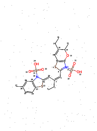 CCC(=Cc1sc2c([n+]1S(=O)(=O)O)OC(C)C(CC)=C2)C=C1Sc2ccc(C)cc2N1S(=O)(=O)O